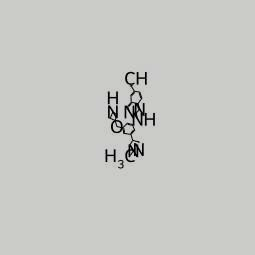 C#Cc1ccc2nc(Nc3cc(OC4CNC4)cc(C4C=NN(C)C4)c3)ncc2c1